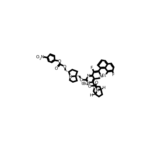 CCc1c(F)ccc2cccc(-c3ncc4c(N5C[C@H]6CC[C@@H](C5)N6C(=O)OC(C)(C)C)nc(OC[C@]56CCCN5[C@H](COC(=O)Oc5ccc([N+](=O)[O-])cc5)CC6)nc4c3F)c12